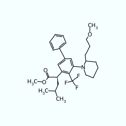 COCCCC1CCCCN1c1cc(-c2ccccc2)cc([C@@H](CC(C)C)C(=O)OC)c1C(F)(F)F